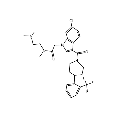 CN(C)CCN(C)C(=O)Cn1cc(C(=O)N2CCC(c3ccccc3C(F)(F)F)CC2)c2ccc(Cl)cc21